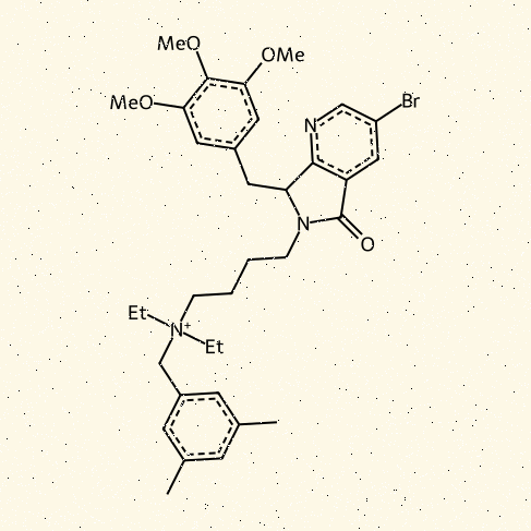 CC[N+](CC)(CCCCN1C(=O)c2cc(Br)cnc2C1Cc1cc(OC)c(OC)c(OC)c1)Cc1cc(C)cc(C)c1